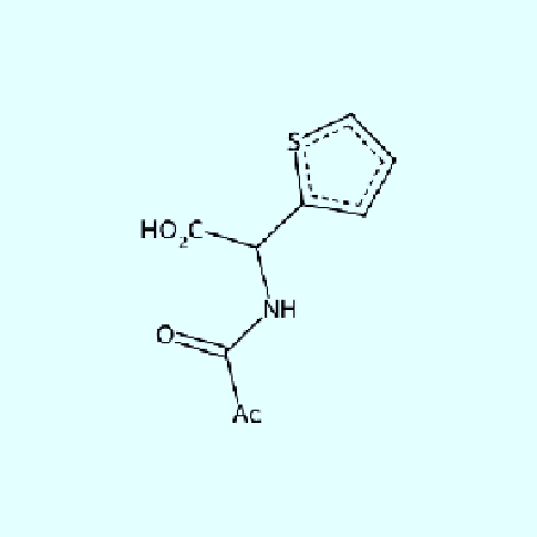 CC(=O)C(=O)NC(C(=O)O)c1cccs1